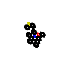 c1ccc2c(-c3c(N(c4ccc(-c5cccc6sc7ccccc7c56)cc4)c4cccc5c4oc4ccccc45)c4ccccc4c4ccccc34)cccc2c1